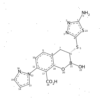 Nc1nnc(S[C@H]2Cc3ccc(-n4cccn4)c(C(=O)O)c3OB2O)s1